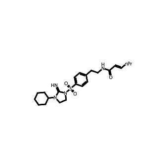 CCC/C=C/C(=O)NCCc1ccc(S(=O)(=O)N2CCN(C3CCCCC3)C2=N)cc1